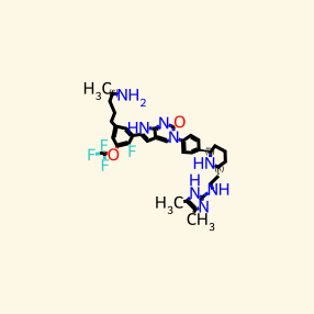 Cc1nc(NCC[C@H]2CCC[C@H](c3ccc(-n4cc5cc(-c6cc(CCC[C@H](C)N)cc(OC(F)(F)F)c6F)[nH]c5nc4=O)cc3)N2)[nH]c1C